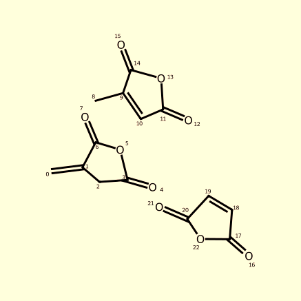 C=C1CC(=O)OC1=O.CC1=CC(=O)OC1=O.O=C1C=CC(=O)O1